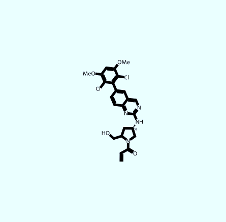 C=CC(=O)N1C[C@@H](Nc2ncc3cc(-c4c(Cl)c(OC)cc(OC)c4Cl)ccc3n2)CC1CO